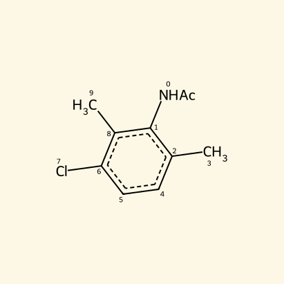 CC(=O)Nc1c(C)ccc(Cl)c1C